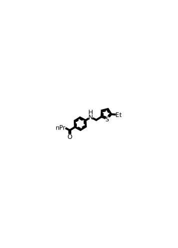 CCCC(=O)c1ccc(NCc2ccc(CC)s2)cc1